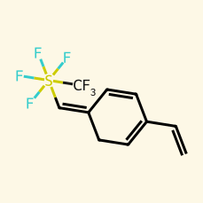 C=CC1=CCC(=CS(F)(F)(F)(F)C(F)(F)F)C=C1